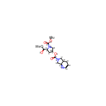 COC(=O)[C@@H]1C[C@@H](OC(=O)N2CC3=NC=CCC3C2)CN1C(=O)OC(C)(C)C